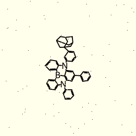 c1ccc(-c2cc3c4c(c2)N(c2cccc(C56CC7CC(CC(C7)C5)C6)c2)c2ccccc2B4c2ccccc2N3c2ccccc2)cc1